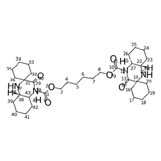 O=C(OCCCCCCOC(=O)N1C(=O)C2(CCCCC2)N[C@H]2CCCC[C@@H]21)N1C(=O)C2(CCCCC2)N[C@H]2CCCC[C@@H]21